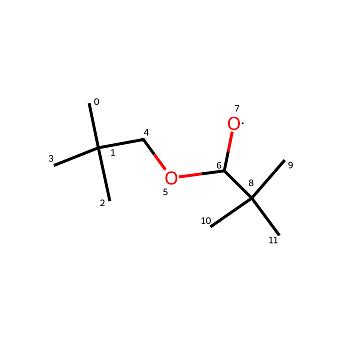 CC(C)(C)COC([O])C(C)(C)C